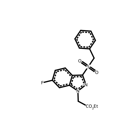 CCOC(=O)Cn1nc(S(=O)(=O)Cc2ccccc2)c2ccc(F)cc21